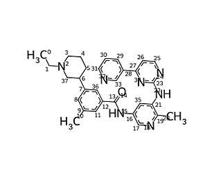 CCN1CCCC(c2cc(C)cc(C(=O)Nc3cnc(C)c(Nc4nccc(-c5cccnc5)n4)c3)c2)C1